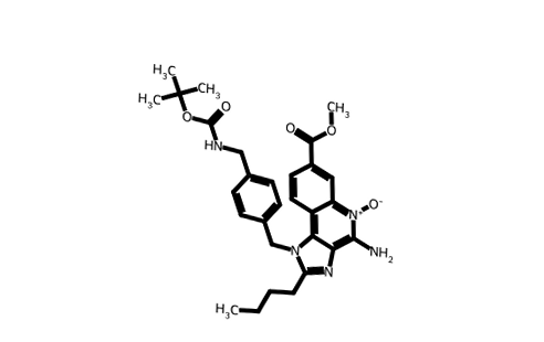 CCCCc1nc2c(N)[n+]([O-])c3cc(C(=O)OC)ccc3c2n1Cc1ccc(CNC(=O)OC(C)(C)C)cc1